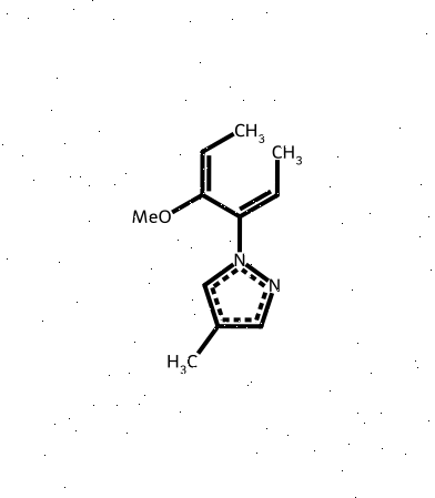 C/C=C(OC)\C(=C/C)n1cc(C)cn1